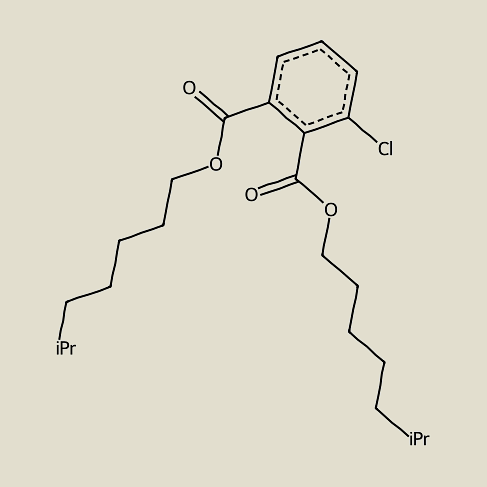 CC(C)CCCCCOC(=O)c1cccc(Cl)c1C(=O)OCCCCCC(C)C